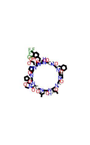 CC[C@H](C)[C@@H]1NC(=O)[C@@H](CC(C)C)N(C)C(=O)C[C@@H](C(=O)N2CCOCC2)N(C)C(=O)[C@H](C2CCCC2)N(C)C(=O)C2(CCCC2)N[C@](C=O)(CCC(=O)O)N(C)[C@](C=O)(CCc2ccc(C(F)(F)F)c(Cl)c2)NC(=O)CN(C)C(=O)[C@H](CC2CCCCC2)N(C)C(=O)[C@@H]2CCN2C(=O)[C@H](C)N(C)C1=O